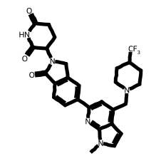 Cn1ccc2c(CN3CCC(C(F)(F)F)CC3)cc(-c3ccc4c(c3)CN(C3CCC(=O)NC3=O)C4=O)nc21